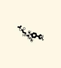 CC(C)OC(=O)CCNc1n[n+]([O-])c2cc(-c3cnn(C)c3)ccc2[n+]1[O-]